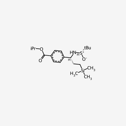 CC(C)OC(=O)c1ccc([C@@H](CC[Si](C)(C)C)N[S@@+]([O-])C(C)(C)C)cc1